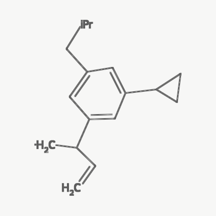 [CH2]C(C=C)c1cc(CC(C)C)cc(C2CC2)c1